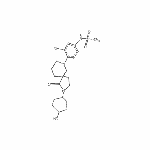 CS(=O)(=O)Nc1cnc(N2CCC[C@]3(CCN(C4CCC(O)CC4)C3=O)C2)c(Cl)c1